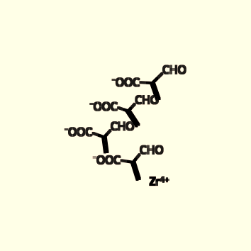 C=C(C=O)C(=O)[O-].C=C(C=O)C(=O)[O-].C=C(C=O)C(=O)[O-].C=C(C=O)C(=O)[O-].[Zr+4]